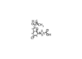 CN(C)C(=O)c1cc2cc(Cl)cc(N3CC(C(=O)O)C3)c2o1